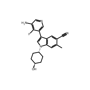 Cc1cc2c(cc1C#N)c(-c1cncc(N)c1F)cn2[C@H]1CC[C@H](O)CC1